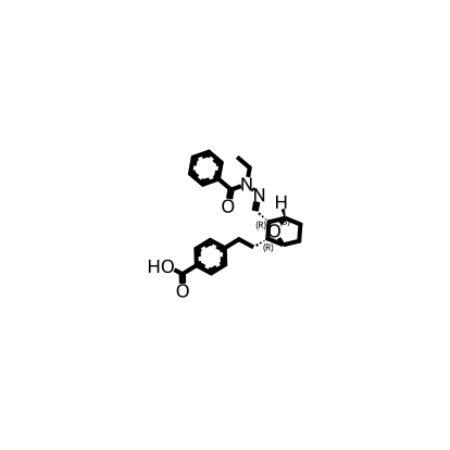 CCN(N=C[C@@H]1[C@@H]2CCC(O2)[C@@H]1CCc1ccc(C(=O)O)cc1)C(=O)c1ccccc1